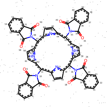 O=C1c2ccccc2C(=O)N1c1c2nc(c(N3C(=O)c4ccccc4C3=O)c3ccc([nH]3)c(N3C(=O)c4ccccc4C3=O)c3nc(c(N4C(=O)c5ccccc5C4=O)c4ccc1[nH]4)C=C3)C=C2